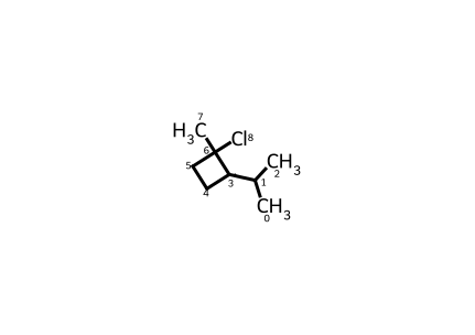 CC(C)[C]1CCC1(C)Cl